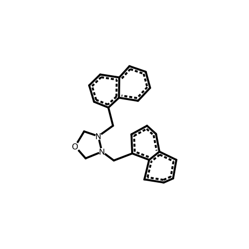 c1ccc2c(CN3COCN3Cc3cccc4ccccc34)cccc2c1